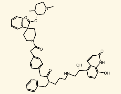 CC1CCN(C)C[C@@H]1OC(=O)C1(c2ccccc2)CCN(C(=O)Cc2ccc(CC(=O)N(CCCNC[C@H](O)c3ccc(O)c4[nH]c(=O)ccc34)Cc3ccccc3)cc2)CC1